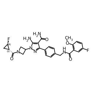 COc1ccc(F)cc1C(=O)NCc1ccc(-c2nn(C3CN(C(=O)[C@@H]4C[C@H]4F)C3)c(N)c2C(N)=O)cc1